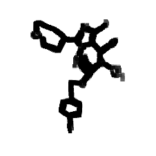 Cn1c(OCc2ccc(F)cc2)nn2c(C3CCOCC3)nc(I)c2c1=O